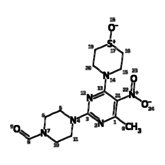 Cc1nc(N2CCN(C=O)CC2)nc(N2CC[S+]([O-])CC2)c1[N+](=O)[O-]